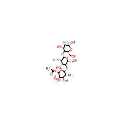 CC(=O)O[C@@]1(CO)O[C@H](OC2[C@@H](CO)O[C@@H](OC3[C@@H](CO)O[C@@H](O)[C@H](N)[C@H]3O)[C@H](N)[C@H]2O)[C@H](N)[C@@H](O)[C@@H]1O